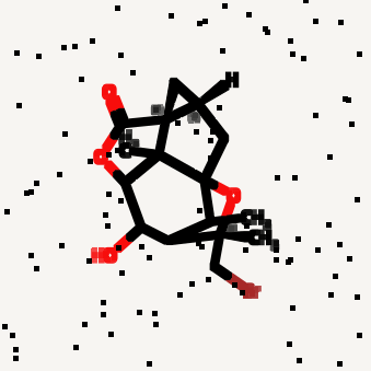 CC1C2C(O)C3OC(=O)[C@]45C[C@@H]4CC1(O[C@]2(C)CBr)C35C